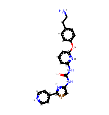 NCCc1ccc(Oc2cccc(NC(=O)Nc3csc(-c4ccncc4)n3)n2)cc1